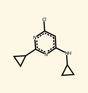 Clc1cc(NC2CC2)nc(C2CC2)n1